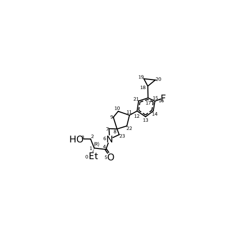 CC[C@H](CO)C(=O)N1CC2(CCC(c3ccc(F)c(C4CC4)c3)C2)C1